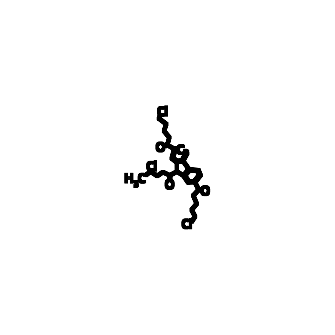 CC(Cl)CCC(=O)C1c2cc(C(=O)CCCCCl)ccc2-c2ccc(C(=O)CCCCCl)cc21